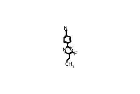 CCCc1cnc(-c2ccc(C#N)cc2)nc1F